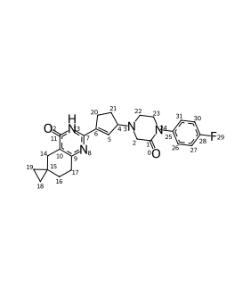 O=C1CN(C2C=C(c3nc4c(c(=O)[nH]3)CC3(CC4)CC3)CC2)CCN1c1ccc(F)cc1